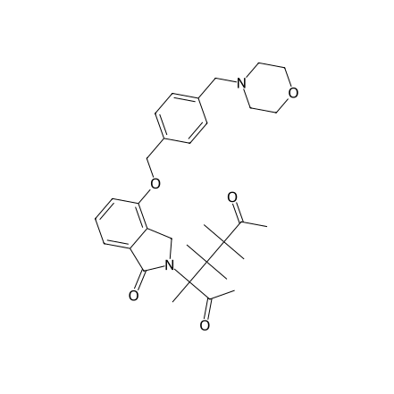 CC(=O)C(C)(C)C(C)(C)C(C)(C(C)=O)N1Cc2c(OCc3ccc(CN4CCOCC4)cc3)cccc2C1=O